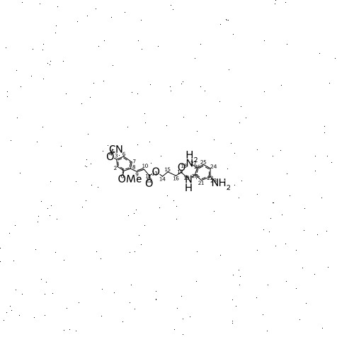 COc1cc(OC#N)ccc1/C=C/C(=O)OCCCC(=O)Nc1cc(N)ccc1N